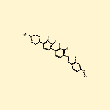 CCCC1CCC(c2ccc(-c3ccc(CCc4ccc(OCC)cc4F)c(F)c3F)c(F)c2F)CO1